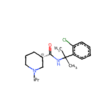 CC(C)N1CCC[C@H](C(=O)NC(C)(C)c2ccccc2Cl)C1